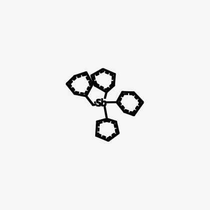 c1ccc([CH2][Sb]([c]2ccccc2)([c]2ccccc2)[c]2ccccc2)cc1